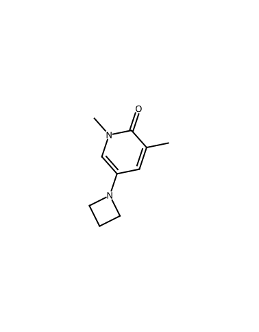 Cc1cc(N2CCC2)cn(C)c1=O